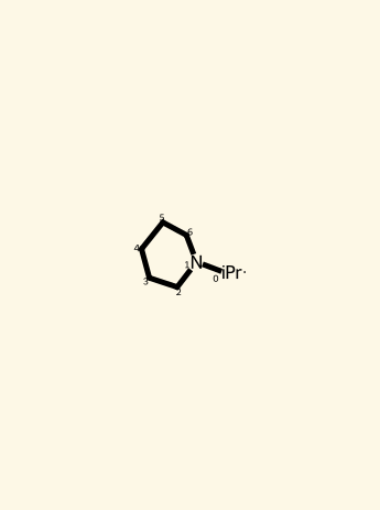 C[C](C)N1CCCCC1